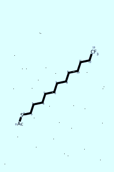 CC(=O)SCCCCCCCCCCCC(F)(F)F